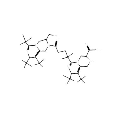 CC(C)(C)C1=NC(C(C)(C)C)C(C(C)(C)C)=C2CN(C(=O)CCC(C)(C)C3=NC(C(C)(C)C)C(C(C)(C)C)=C4CNC(C(=O)O)CN34)C(CO)CN12